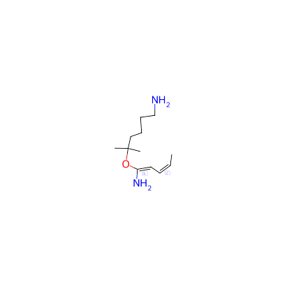 C/C=C\C=C(/N)OC(C)(C)CCCCN